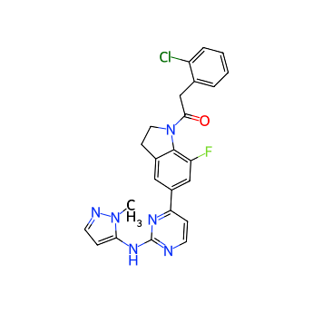 Cn1nccc1Nc1nccc(-c2cc(F)c3c(c2)CCN3C(=O)Cc2ccccc2Cl)n1